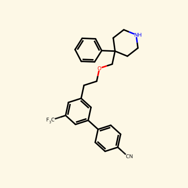 N#Cc1ccc(-c2cc(CCOCC3(c4ccccc4)CCNCC3)cc(C(F)(F)F)c2)cc1